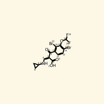 O=C(O)C(=CNC1CC1)C(=O)c1ccc(Br)c(OC(F)F)c1Br